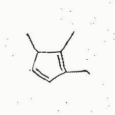 CC1=C(C)C(C)[C]=C1